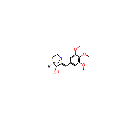 COc1cc(/C=C2/[C@@H](O)[C@H]3CCN2C3)cc(OC)c1OC